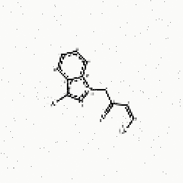 Cc1nn(CC(=O)/C=C\N)c2ccccc12